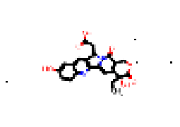 CC[C@@]1(O)C(=O)OCc2c1cc1n(c2=O)C(CC(=O)O)c2cc3cc(O)ccc3nc2-1